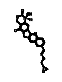 CC[C@@]1(O)C(=O)OCc2c1cc1n(c2=O)Cc2cc3cc(C=NOCC4CO4)ccc3nc2-1